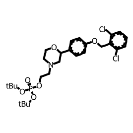 CC(C)(C)OP(=O)(OCCN1CCOC(c2ccc(OCc3c(Cl)cccc3Cl)cc2)C1)OC(C)(C)C